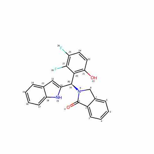 O=C1c2ccccc2CN1[C@@H](c1cc2ccccc2[nH]1)c1c(O)ccc(F)c1F